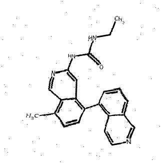 CCNC(=O)Nc1cc2c(-c3cccc4cnccc34)ccc(C)c2cn1